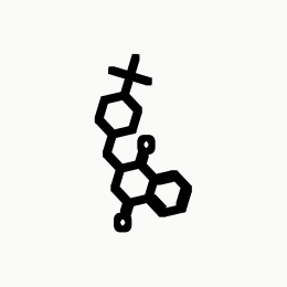 CC(C)(C)C1CCC(CC2CC(=O)c3ccccc3C2=O)CC1